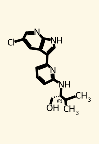 CC(C)[C@H](CO)Nc1cccc(-c2c[nH]c3ncc(Cl)cc23)n1